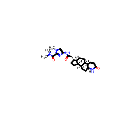 CN(C)C(=O)c1nc(NC(=O)C[C@H]2CC[C@H]3[C@@H]4CC[C@H]5NC(=O)C=C[C@]5(C)[C@H]4CC[C@]23C)cn1C